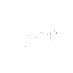 CC(C)(C)OC(=O)N(CCc1ccc(Sc2ccccc2OCC(=O)O)cc1)Cc1ccccc1